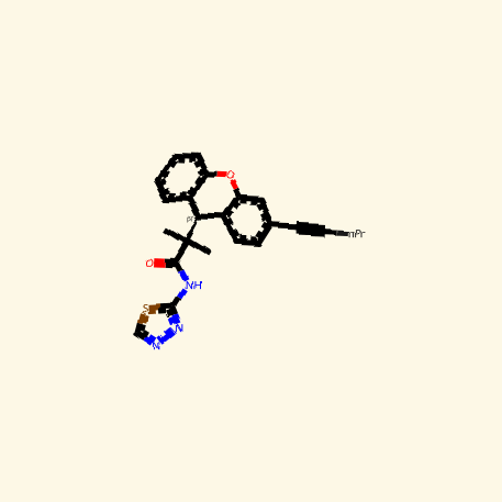 CCCC#Cc1ccc2c(c1)Oc1ccccc1[C@@H]2C(C)(C)C(=O)Nc1nncs1